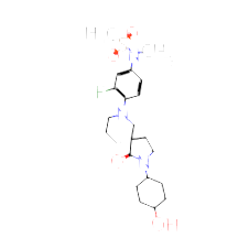 CN(c1ccc(N2CCC[C@@]3(CCN(C4CCC(O)CC4)C3=O)C2)c(F)c1)S(C)(=O)=O